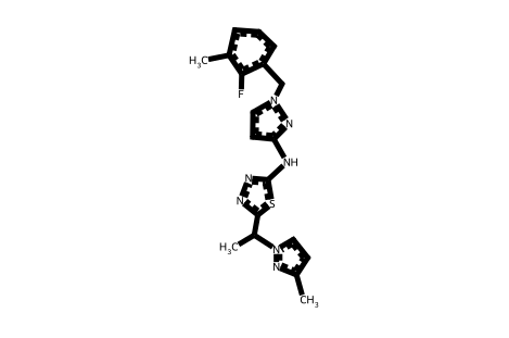 Cc1ccn(C(C)c2nnc(Nc3ccn(Cc4cccc(C)c4F)n3)s2)n1